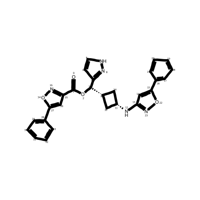 O=C(OC(c1cc[nH]n1)[C@H]1C[C@@H](Nc2cc(-c3ccccc3)on2)C1)c1cc(-c2ccccc2)on1